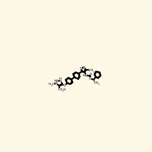 Cc1noc(-c2ccc(-c3ccc(OC4=C(C(=O)O)N(C)NN4)cc3)cc2)c1NC(=O)O[C@H](C)c1ccccc1